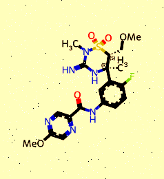 COC[C@@H]1[C@@](C)(c2cc(NC(=O)c3cnc(OC)cn3)ccc2F)NC(=N)N(C)S1(=O)=O